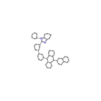 c1ccc(-n2c(-c3cccc(-c4cccc(-c5c6ccccc6c(-c6ccc7ccccc7c6)c6ccccc56)c4)c3)nc3ccccc32)cc1